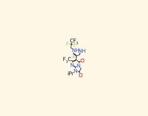 CC(C)N1C(=O)Cn2c1nc(C(F)(F)F)c(/C(C=N)=C/NCC(F)(F)C(F)(F)F)c2=O